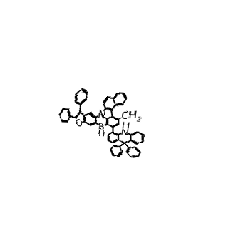 Cc1cc(-c2cccc3c2Nc2ccccc2C3(c2ccccc2)c2ccccc2)c2c3c1c1c4ccccc4ccc1n3-c1cc3c(-c4ccccc4)c(-c4ccccc4)oc3cc1B2